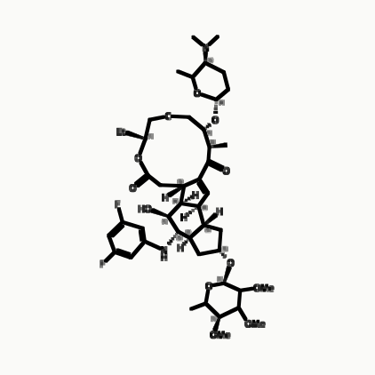 CC[C@H]1CCC[C@H](O[C@H]2CC[C@H](N(C)C)C(C)O2)[C@@H](C)C(=O)C2=C[C@H]3[C@@H]4C[C@H](O[C@@H]5OC(C)[C@H](OC)C(OC)C5OC)C[C@H]4[C@H](Nc4cc(F)cc(F)c4)[C@@H](O)[C@H]3[C@@H]2CC(=O)O1